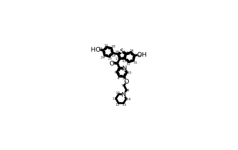 O=C(c1ccc(OCCN2CCCCC2)cn1)c1c(-c2ccc(O)cc2)sc2cc(O)ccc12